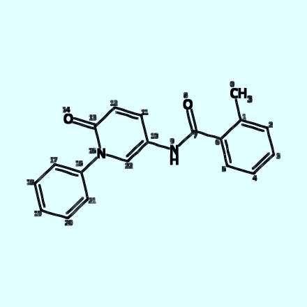 Cc1ccccc1C(=O)Nc1ccc(=O)n(-c2ccccc2)c1